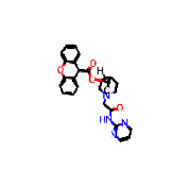 O=C(C[N+]12CCC(CC1)[C@@H](OC(=O)C1c3ccccc3Oc3ccccc31)C2)Nc1ncccn1